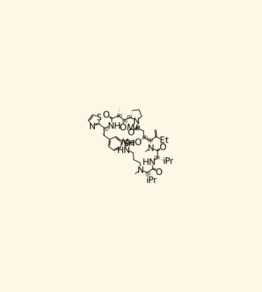 C=C(CC)[C@@H]([C@@H](CC(=O)N1CCC[C@H]1[C@H](OC)[C@@H](C)C(=O)N[C@@H](Cc1ccccc1)c1nccs1)OC)N(C)C(=O)[C@@H](NC(=O)[C@H](C(C)C)N(C)CCCNS)C(C)C